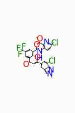 COC(=O)c1nc(Cl)ccc1NC(C)c1cc(C(F)(F)F)cc2c(=O)cc(-c3cc(Cl)c4nn(C)cc4c3)oc12